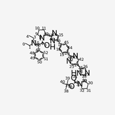 CCN(CC)[C@@H](C(=O)N1CCC[C@H]1c1ncc(-c2ccc(-c3ncc(-c4cnc([C@@H]5CCCN5C(=O)OC(C)(C)C)[nH]4)cn3)cc2)[nH]1)c1ccccc1